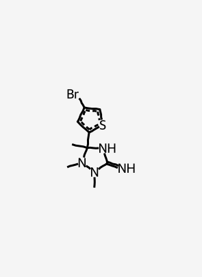 CN1C(=N)NC(C)(c2cc(Br)cs2)N1C